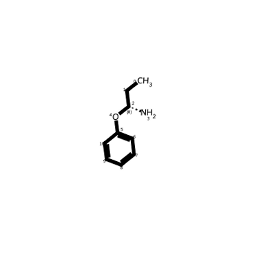 C[CH][C@H](N)Oc1ccccc1